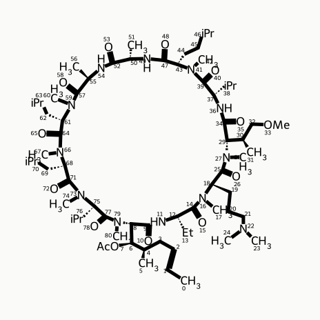 C/C=C/C[C@@H](C)[C@@H](OC(C)=O)[C@H]1C(=O)N[C@@H](CC)C(=O)N(C)[C@H](CCCN(C)C)C(=O)N(C)[C@@H]([C@H](C)COC)C(=O)N[C@@H](C(C)C)C(=O)N(C)[C@@H](CCC(C)C)C(=O)N[C@@H](C)C(=O)N[C@H](C)C(=O)N(C)[C@@H](CC(C)C)C(=O)N(C)[C@@H](CC(C)C)C(=O)N(C)[C@@H](C(C)C)C(=O)N1C